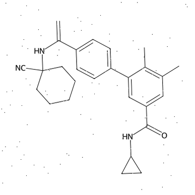 C=C(NC1(C#N)CCCCC1)c1ccc(-c2cc(C(=O)NC3CC3)cc(C)c2C)cc1